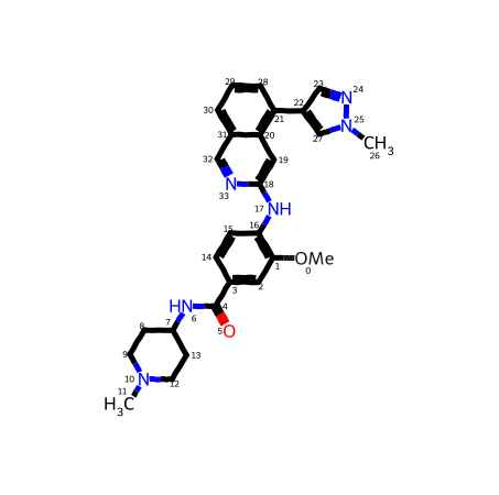 COc1cc(C(=O)NC2CCN(C)CC2)ccc1Nc1cc2c(-c3cnn(C)c3)cccc2cn1